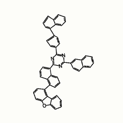 c1ccc2cc(-c3nc(-c4ccc(-c5cccc6ccccc56)cc4)nc(-c4cccc5c(-c6cccc7oc8ccccc8c67)cccc45)n3)ccc2c1